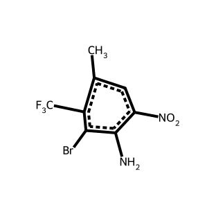 Cc1cc([N+](=O)[O-])c(N)c(Br)c1C(F)(F)F